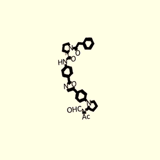 CC(=O)N(C=O)C1CCCN1c1ccc(-c2cnc(-c3ccc(NC(=O)[C@@H]4CCCN4C(=O)Cc4ccccc4)cc3)o2)cc1